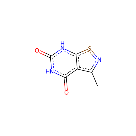 Cc1nsc2[nH]c(=O)[nH]c(=O)c12